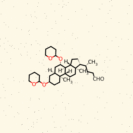 C[C@H](CCC=O)[C@H]1CC[C@H]2[C@@H]3[C@@H](OC4CCCCO4)C[C@@H]4C[C@H](OC5CCCCO5)CC[C@]4(C)[C@H]3CC[C@]12C